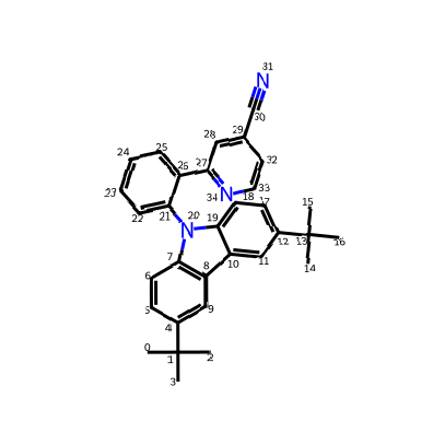 CC(C)(C)c1ccc2c(c1)c1cc(C(C)(C)C)ccc1n2-c1ccccc1-c1cc(C#N)ccn1